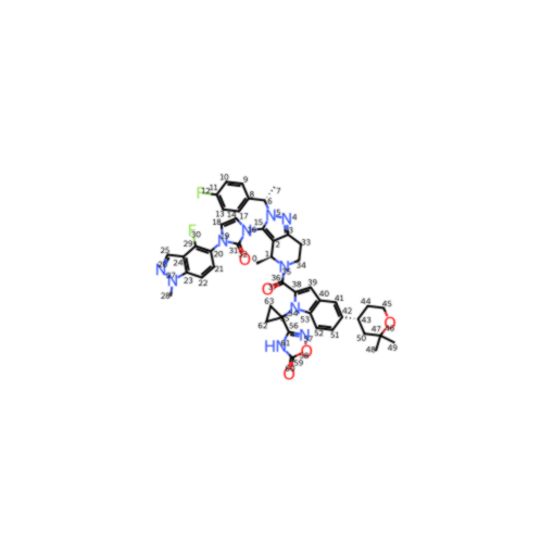 C[C@H]1c2c(nn([C@@H](C)c3ccc(F)cc3)c2-n2ccn(-c3ccc4c(cnn4C)c3F)c2=O)CCN1C(=O)c1cc2cc([C@@H]3CCOC(C)(C)C3)ccc2n1C1(c2noc(=O)[nH]2)CC1